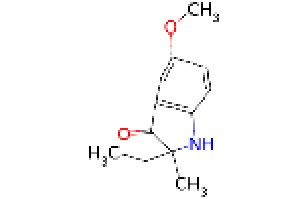 CCC1(C)Nc2ccc(OC)cc2C1=O